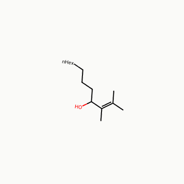 CCCCCCCCCC(O)C(C)=C(C)C